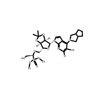 CCOP(=O)(OCC)[C@@H](CO)OC[C@H]1O[C@@H](n2ccc3c(N4CC5CCCC5C4)c(C#N)c(Cl)nc32)[C@@H]2OC(C)(C)O[C@@H]21